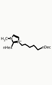 CCCCCCCCCCCCCCC[n+]1ccn(C)c1CCCCCC